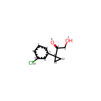 O=C(CO)C1(c2cccc(Cl)c2)CC1